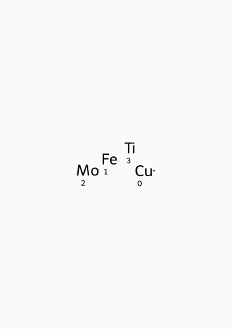 [Cu].[Fe].[Mo].[Ti]